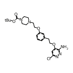 CC(C)(C)OC(=O)N1CCN(CCOc2cccc(CCOc3cc(Cl)nnc3N)c2)CC1